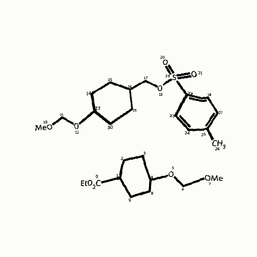 CCOC(=O)C1CCC(OCOC)CC1.COCOC1CCC(COS(=O)(=O)c2ccc(C)cc2)CC1